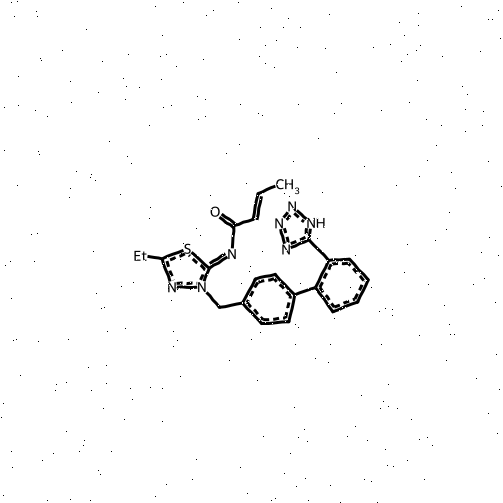 C/C=C/C(=O)N=c1sc(CC)nn1Cc1ccc(-c2ccccc2-c2nnn[nH]2)cc1